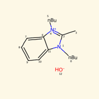 CCCCn1c(C)[n+](CCCC)c2ccccc21.[OH-]